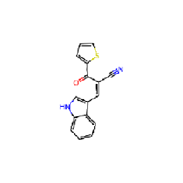 N#CC(=Cc1c[nH]c2ccccc12)C(=O)c1cccs1